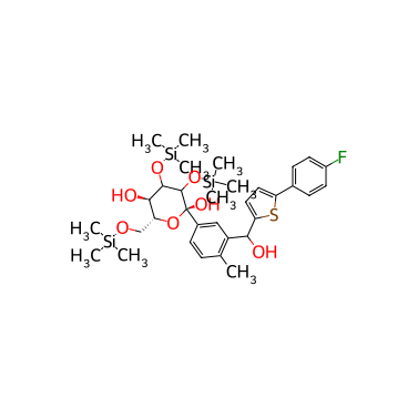 Cc1ccc([C@]2(O)O[C@H](CO[Si](C)(C)C)[C@@H](O)C(O[Si](C)(C)C)C2O[Si](C)(C)C)cc1C(O)c1ccc(-c2ccc(F)cc2)s1